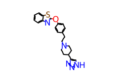 c1ccc2sc(Oc3ccc(CCN4CCC(c5c[nH]nn5)CC4)cc3)nc2c1